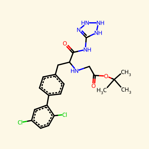 CC(C)(C)OC(=O)CNC(Cc1ccc(-c2cc(Cl)ccc2Cl)cc1)C(=O)NC1=NNNN1